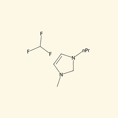 CCCN1C=CN(C)C1.FC(F)F